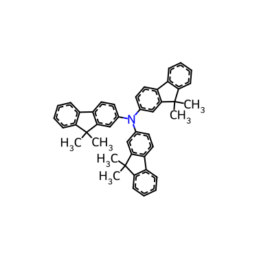 CC1(C)c2ccccc2-c2ccc(N(c3ccc4c(c3)C(C)(C)c3ccccc3-4)c3ccc4c(c3)C(C)(C)c3ccccc3-4)cc21